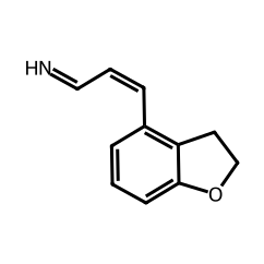 N=C/C=C\c1cccc2c1CCO2